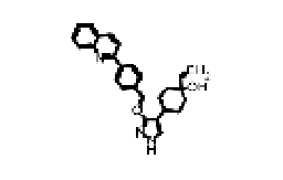 C=CC1(O)CCC(c2c[nH]nc2OCc2ccc(-c3ccc4ccccc4n3)cc2)CC1